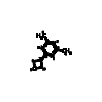 Cc1nc(C)nc(C2COC2)n1